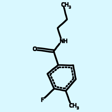 CCCNC(=O)c1ccc(C)c(F)c1